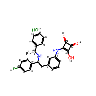 CC[C@@H](NC(Cc1cccc(Nc2c(O)c(=O)c2=O)c1)c1ccc(F)cc1)c1ccccc1.Cl